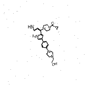 N=C/C=C(\c1cc(-c2ccc(N3CCN(CCO)CC3)cc2)c[nH]1)N1CCN(C(=O)C2CC2)CC1